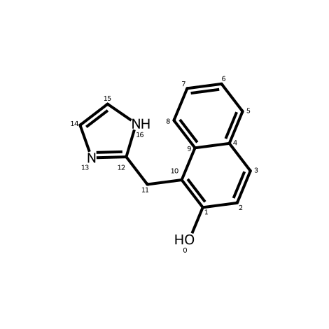 Oc1ccc2ccccc2c1Cc1ncc[nH]1